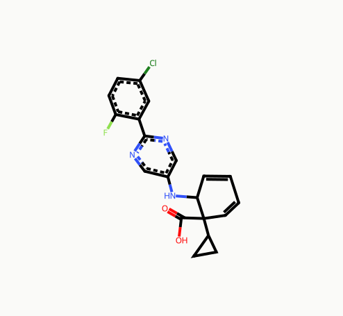 O=C(O)C1(C2CC2)C=CC=CC1Nc1cnc(-c2cc(Cl)ccc2F)nc1